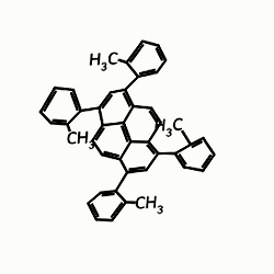 Cc1ccccc1-c1cc(-c2ccccc2C)c2ccc3c(-c4ccccc4C)cc(-c4ccccc4C)c4ccc1c2c43